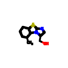 Cc1cccc2sc3ncc(CO)n3c12